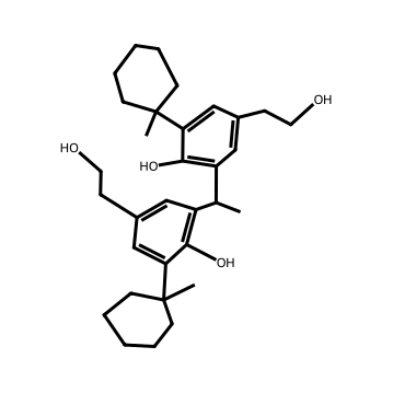 CC(c1cc(CCO)cc(C2(C)CCCCC2)c1O)c1cc(CCO)cc(C2(C)CCCCC2)c1O